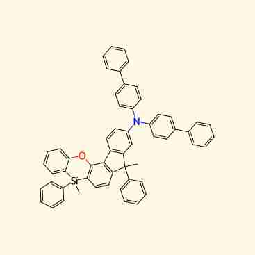 CC1(c2ccccc2)c2cc(N(c3ccc(-c4ccccc4)cc3)c3ccc(-c4ccccc4)cc3)ccc2-c2c1ccc1c2Oc2ccccc2[Si]1(C)c1ccccc1